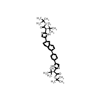 CC(C)(C)OC(=O)[C@H](c1ncc(-c2ccc(-c3ccc4cc(-c5cnc([C@@H](C(=O)OC(C)(C)C)C(C)(C)C)[nH]5)ccc4c3)cc2)[nH]1)C(C)(C)C